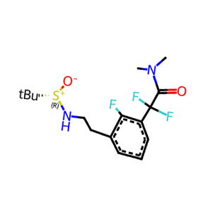 CN(C)C(=O)C(F)(F)c1cccc(CCN[S@@+]([O-])C(C)(C)C)c1F